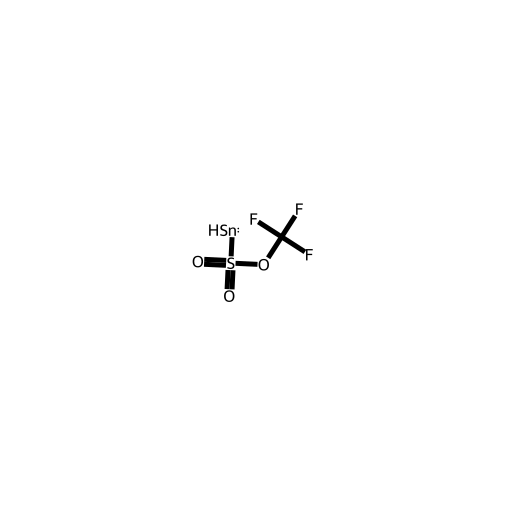 O=[S](=O)([SnH])OC(F)(F)F